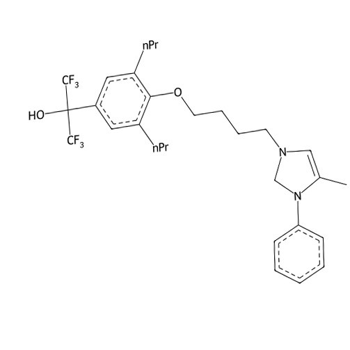 CCCc1cc(C(O)(C(F)(F)F)C(F)(F)F)cc(CCC)c1OCCCCN1C=C(C)N(c2ccccc2)C1